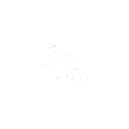 Cc1ccc(C(NC(=O)Cc2ccc3oc(C(c4ccncc4C)N4CC(N)C4)cc3c2)c2ccccc2)c(C)c1